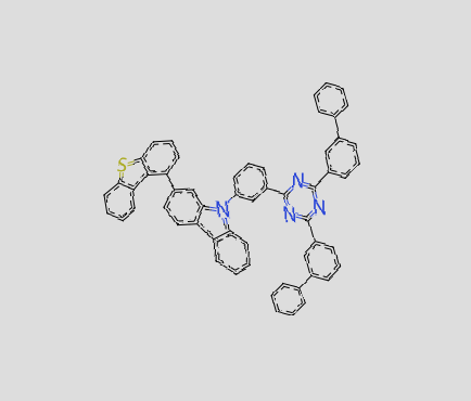 c1ccc(-c2cccc(-c3nc(-c4cccc(-c5ccccc5)c4)nc(-c4cccc(-n5c6ccccc6c6ccc(-c7cccc8sc9ccccc9c78)cc65)c4)n3)c2)cc1